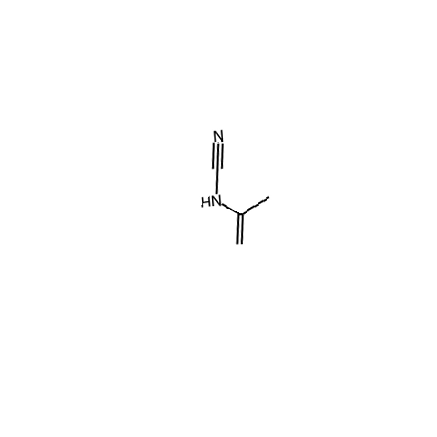 C=C(C)NC#N